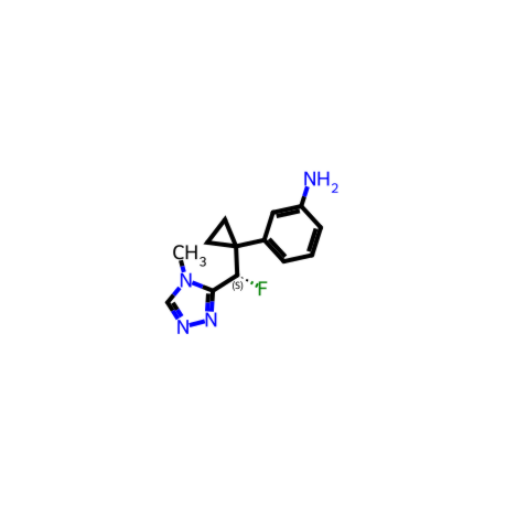 Cn1cnnc1[C@@H](F)C1(c2cccc(N)c2)CC1